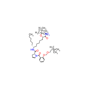 CCCCCC[C@H](CCCCC[C@@H](O[Si](C)(C)C(C)(C)C)C(N)=O)NC(=O)[C@@H]1CC=CN1C(=O)c1ccccc1OCOCC[Si](C)(C)C